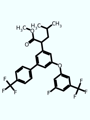 COC(=O)C(CC(C)C)c1cc(Oc2cc(F)cc(C(F)(F)F)c2)cc(-c2ccc(C(F)(F)F)cc2)c1